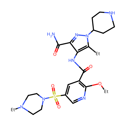 CCOc1ncc(S(=O)(=O)N2CCN(CC)CC2)cc1C(=O)Nc1c(C(N)=O)nn(C2CCNCC2)c1CC